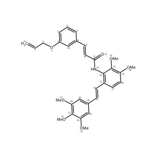 C=CCOc1cccc(/C=C/C(=O)Nc2c(/C=C/c3cc(OC)c(OC)c(OC)c3)ccc(OC)c2OC)c1